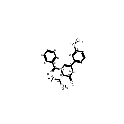 COc1cccc(C2=CN(C(=O)c3ccccc3)[C@@H](C(C)C)C(=O)N2)c1